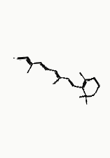 [CH2]/C=C(C)/C=C/C=C(C)/C=C/C1=C(C)CCCC1(C)C